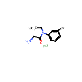 CC(C)c1cccc(N(CC(=O)O)C(=O)CN)c1.Cl